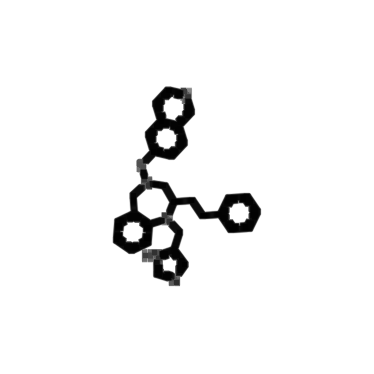 c1ccc(CCC2CN(Sc3ccc4cnccc4c3)Cc3ccccc3N2Cc2cnc[nH]2)cc1